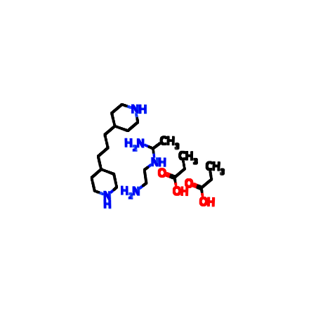 C(CC1CCNCC1)CC1CCNCC1.CC(N)NCCN.CCC(=O)O.CCC(=O)O